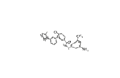 Cc1cnnn1-c1cccc(-n2cc(C(=O)N[C@H](C)c3cc(N)cc(C(F)(F)F)c3)ccc2=O)c1